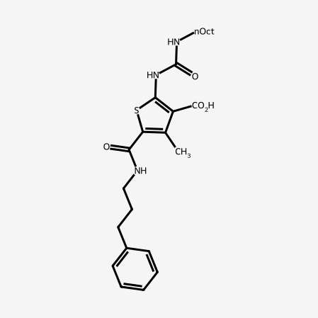 CCCCCCCCNC(=O)Nc1sc(C(=O)NCCCc2ccccc2)c(C)c1C(=O)O